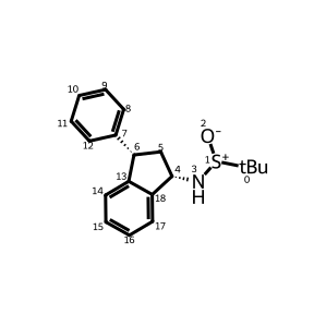 CC(C)(C)[S+]([O-])N[C@H]1C[C@@H](c2ccccc2)c2ccccc21